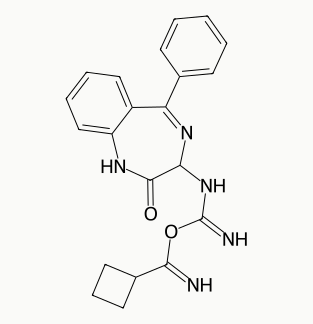 N=C(NC1N=C(c2ccccc2)c2ccccc2NC1=O)OC(=N)C1CCC1